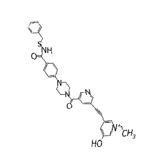 CC[n+]1cc(O)cc(C#Cc2cncc(C(=O)N3CCN(c4ccc(C(=O)NSCc5ccccc5)cc4)CC3)c2)c1